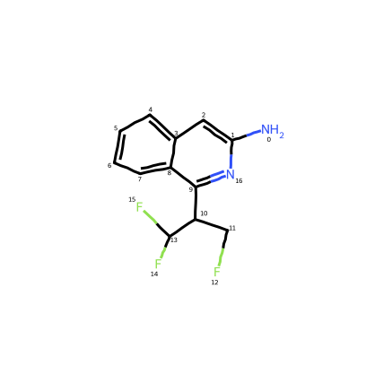 Nc1cc2ccccc2c(C(CF)C(F)F)n1